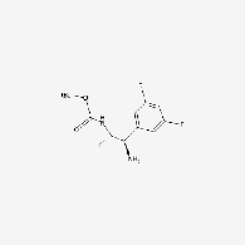 C[C@H](NC(=O)OC(C)(C)C)[C@H](N)c1cc(F)cc(F)c1